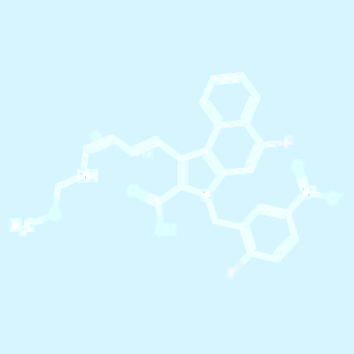 COCN/C=C\C=C\c1c(C(=O)O)n(Cc2cc([N+](=O)[O-])ccc2F)c2cc(F)c3ccccc3c12